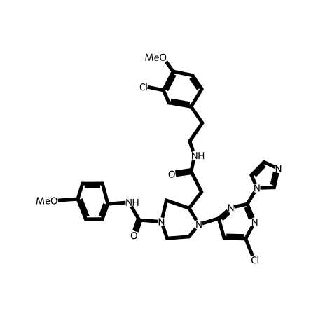 COc1ccc(NC(=O)N2CCN(c3cc(Cl)nc(-n4ccnc4)n3)C(CC(=O)NCCc3ccc(OC)c(Cl)c3)C2)cc1